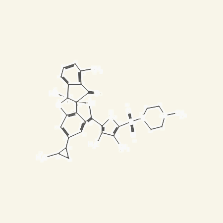 Cc1c(C(=O)N[C@]23C(=O)c4c(N)cccc4[C@@]2(O)Oc2cc(C4CC4C)ccc23)[nH]c(S(=O)(=O)N2CCN(C)CC2)c1C